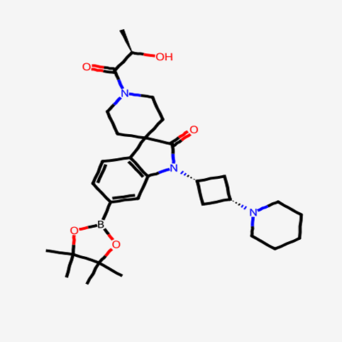 C[C@@H](O)C(=O)N1CCC2(CC1)C(=O)N([C@H]1C[C@@H](N3CCCCC3)C1)c1cc(B3OC(C)(C)C(C)(C)O3)ccc12